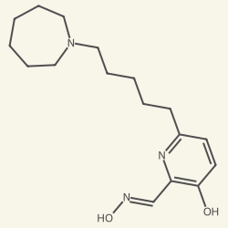 ON=Cc1nc(CCCCCN2CCCCCC2)ccc1O